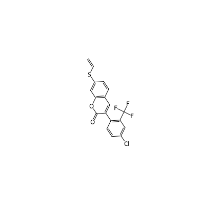 C=CSc1ccc2cc(-c3ccc(Cl)cc3C(F)(F)F)c(=O)oc2c1